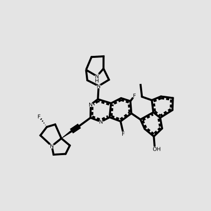 CCc1cccc2cc(O)cc(-c3c(F)cc4c(N5CC6CCC(C5)N6)nc(C#C[C@@]56CCCN5C[C@H](F)C6)nc4c3F)c12